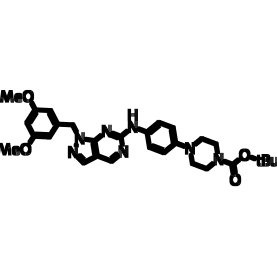 COc1cc(Cn2ncc3cnc(Nc4ccc(N5CCN(C(=O)OC(C)(C)C)CC5)cc4)nc32)cc(OC)c1